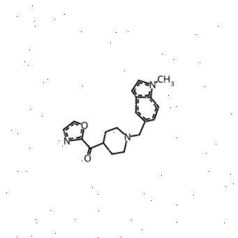 Cn1ccc2cc(CN3CCC(C(=O)c4ncco4)CC3)ccc21